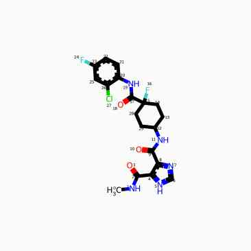 CNC(=O)c1[nH]cnc1C(=O)NC1CCC(F)(C(=O)Nc2ccc(F)cc2Cl)CC1